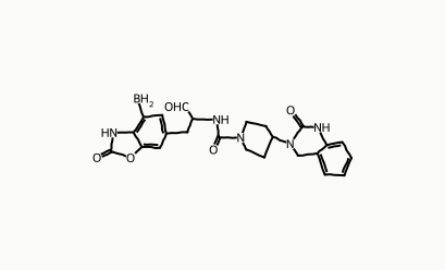 Bc1cc(CC(C=O)NC(=O)N2CCC(N3Cc4ccccc4NC3=O)CC2)cc2oc(=O)[nH]c12